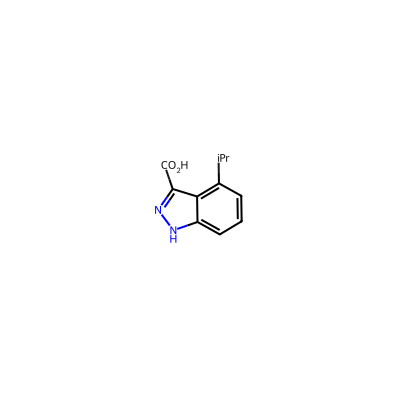 CC(C)c1cccc2[nH]nc(C(=O)O)c12